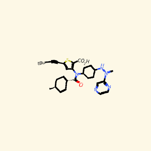 CN(NC1CCC(N(c2cc(C#CC(C)(C)C)sc2C(=O)O)C(=O)[C@H]2CC[C@H](C)CC2)CC1)c1cnccn1